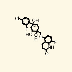 O=C1CCc2c(OC[C@]3(O)CC[C@@](O)(c4ccc(Cl)cc4F)C[C@H]3O)ccc(F)c2N1